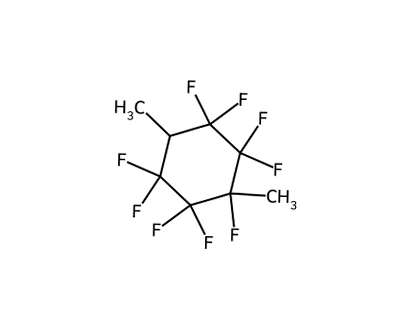 CC1C(F)(F)C(F)(F)C(C)(F)C(F)(F)C1(F)F